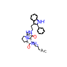 CC(=O)CCCCC[C@@H](C(=O)NCCc1c(-c2ccccc2)[nH]c2ccccc12)[N+]1(C(C)=O)CCC[C@H]1C(N)=O